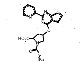 CC(C)(C)OC(=O)N1CC(Oc2nc(-c3ccccn3)nc3sccc23)CC1C(=O)O